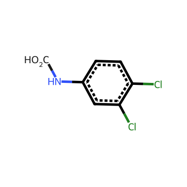 O=C(O)Nc1ccc(Cl)c(Cl)c1